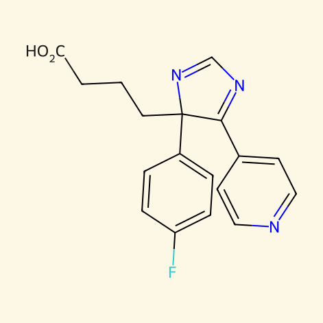 O=C(O)CCCC1(c2ccc(F)cc2)N=CN=C1c1ccncc1